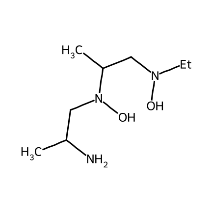 CCN(O)CC(C)N(O)CC(C)N